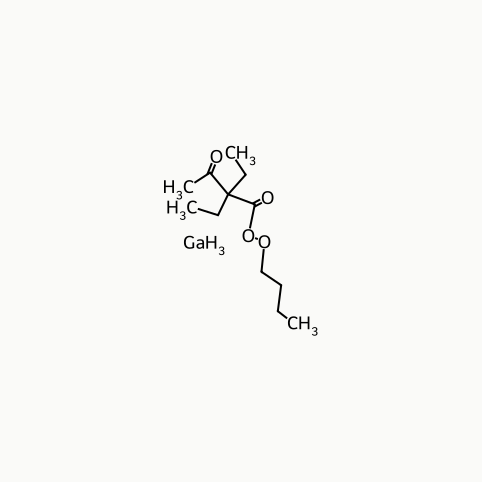 CCCCOOC(=O)C(CC)(CC)C(C)=O.[GaH3]